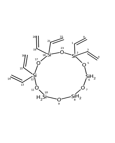 C=C[Si]1(C=C)O[SiH2]O[SiH2]O[SiH2]O[Si](C=C)(C=C)O[Si](C=C)(C=C)O1